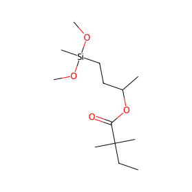 CCC(C)(C)C(=O)OC(C)CC[Si](C)(OC)OC